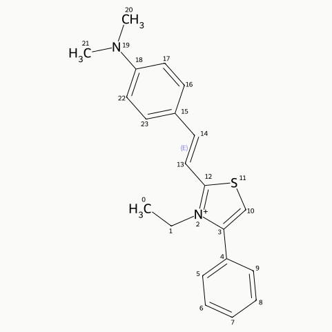 CC[n+]1c(-c2ccccc2)csc1/C=C/c1ccc(N(C)C)cc1